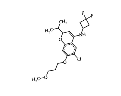 COCCCOc1cc2c(cc1Cl)C(NC1CC(F)(F)C1)=CC(C(C)C)O2